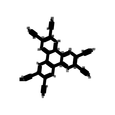 C#Cc1nc2c(nc1C#N)c1nc(C#N)c(C#N)nc1c1nc(C#N)c(C#N)nc21